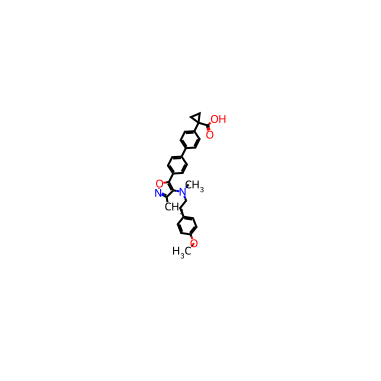 COc1ccc(CCN(C)c2c(C)noc2-c2ccc(-c3ccc(C4(C(=O)O)CC4)cc3)cc2)cc1